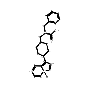 O=C([O-])N(Cc1ccccc1)CC1CCC(C2=C3C=NC=C[N+]3(Cl)C=N2)CC1